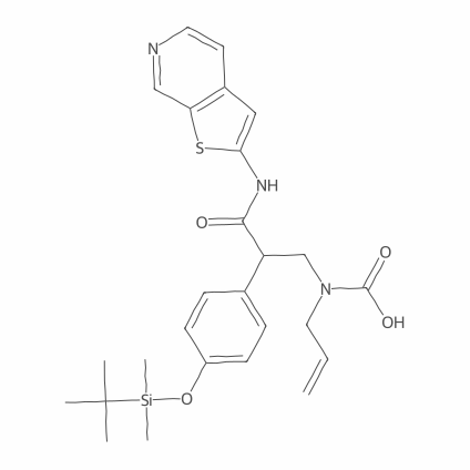 C=CCN(CC(C(=O)Nc1cc2ccncc2s1)c1ccc(O[Si](C)(C)C(C)(C)C)cc1)C(=O)O